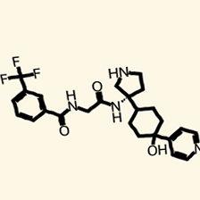 O=C(CNC(=O)c1cccc(C(F)(F)F)c1)N[C@@]1(C2CCC(O)(c3ccncc3)CC2)CCNC1